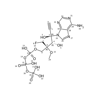 C#C[C@@](O)([C@H](O)[C@@](CF)(COP(=O)(O)OP(=O)(O)OP(=O)(O)O)OC)n1cnc2c(N)ncnc21